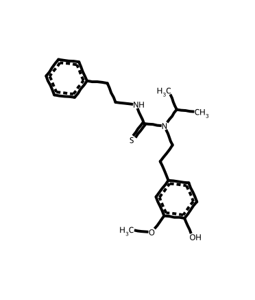 COc1cc(CCN(C(=S)NCCc2ccccc2)C(C)C)ccc1O